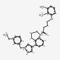 Cc1cccc(OCCCC(=O)N2CCCc3c(-c4cnn(Cc5cccc(CN)c5)c4)cccc32)c1C